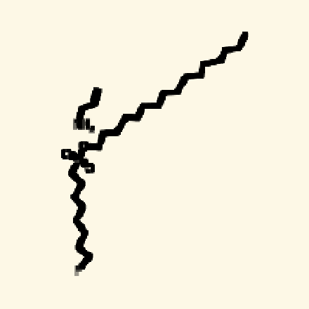 C=CCN.CCCCCCCCCCCCCCCCOS(=O)(=O)CCCCCCCCF